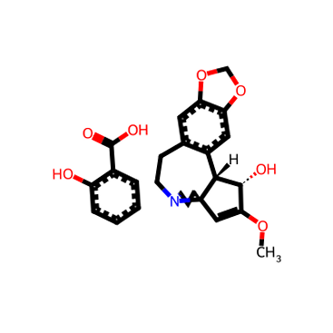 COC1=C[C@]23CCCN2CCc2cc4c(cc2[C@@H]3[C@@H]1O)OCO4.O=C(O)c1ccccc1O